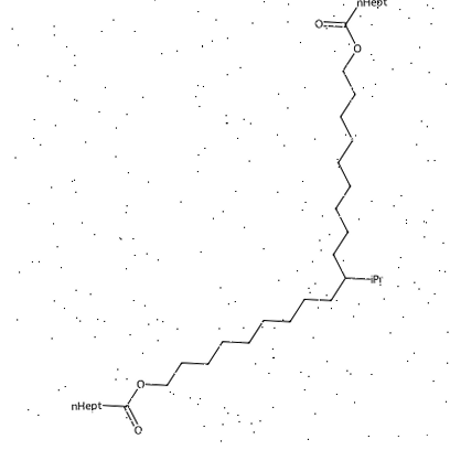 CCCCCCCC(=O)OCCCCCCCCCC(CCCCCCCCCOC(=O)CCCCCCC)C(C)C